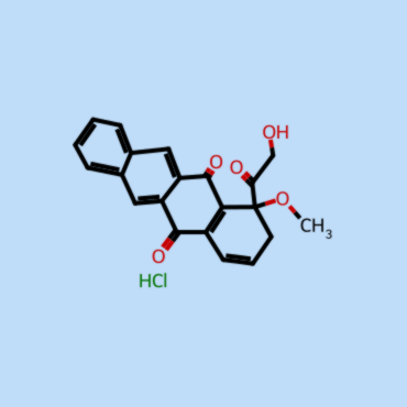 COC1(C(=O)CO)CC=CC2=C1C(=O)c1cc3ccccc3cc1C2=O.Cl